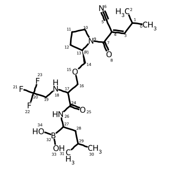 CC(C)C=C(C#N)C(=O)N1CCC[C@@H]1COCC(NCC(F)(F)F)C(=O)NC(CC(C)C)B(O)O